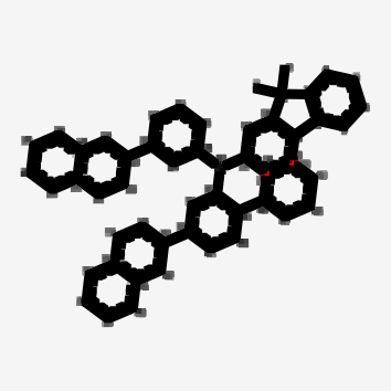 CC1(C)c2ccccc2-c2ccc(N(c3cccc(-c4ccc5ccccc5c4)c3)c3cc(-c4ccc5ccccc5c4)ccc3-c3ccccc3)cc21